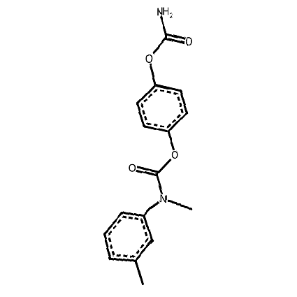 Cc1cccc(N(C)C(=O)Oc2ccc(OC(N)=O)cc2)c1